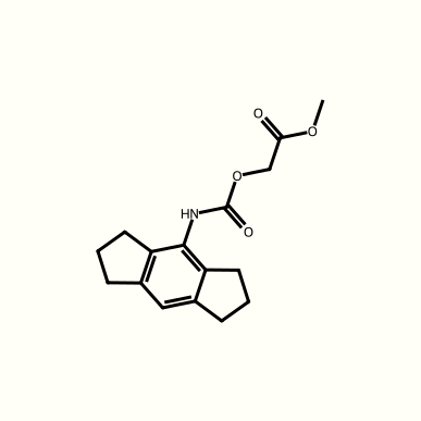 COC(=O)COC(=O)Nc1c2c(cc3c1CCC3)CCC2